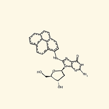 Nc1nc2c(nc(Nc3ccc4ccc5cccc6ccc3c4c56)n2[C@H]2C[C@H](O)[C@@H](CO)O2)c(=O)[nH]1